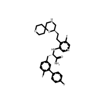 NC(=O)[C@H](Cc1ccc(F)c(-c2ccc(F)cc2)c1)Nc1cncc(F)c1CC[C@@H]1CNCC2(CCOCC2)O1